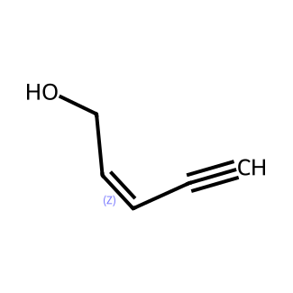 C#C/C=C\CO